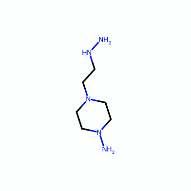 NNCCN1CCN(N)CC1